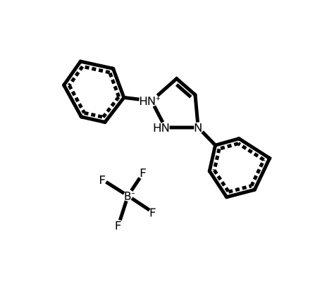 C1=C[NH+](c2ccccc2)NN1c1ccccc1.F[B-](F)(F)F